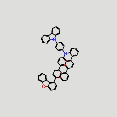 c1ccc(-c2ccc(-c3ccccc3N(c3ccc(-c4ccc(-c5cccc6oc7ccccc7c56)cc4)cc3)c3ccc(-n4c5ccccc5c5ccccc54)cc3)cc2)cc1